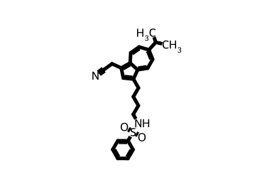 CC(C)c1ccc2c(CC#N)cc(CCCCNS(=O)(=O)c3ccccc3)c-2cc1